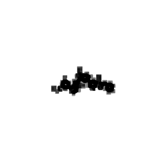 Cc1cc(F)cc(-c2nccc3[nH]c(-c4n[nH]c5ccc(-c6cncc(NC(=O)Cc7ccccc7)c6)cc45)cc23)c1